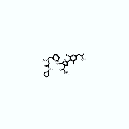 CC(=O)N(CC(=O)NC1CCCC1)Cc1cccc(Nc2sc(-c3c(F)cc(CC(C)O)cc3F)cc2C(N)=O)n1